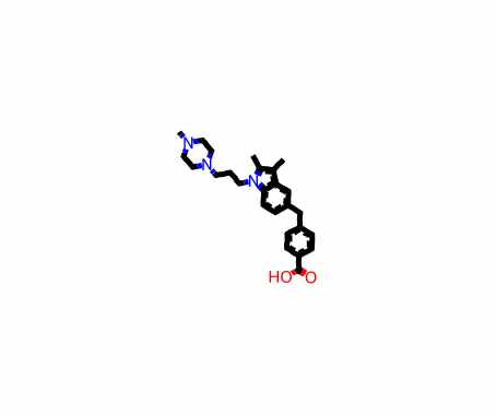 Cc1c(C)n(CCCN2CCN(C)CC2)c2ccc(Cc3ccc(C(=O)O)cc3)cc12